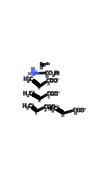 C=CC(=O)[O-].C=CC(=O)[O-].C=CC(=O)[O-].C=CC(=O)[O-].CCOC(N)=O.[Sn+4]